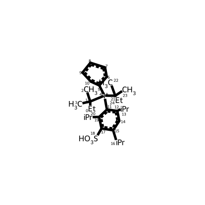 CCC(C)(C)[I+](c1ccccc1)(c1c(C(C)C)cc(C(C)C)c(S(=O)(=O)O)c1C(C)C)C(C)(C)CC